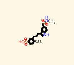 CNS(=O)(=O)Cc1ccc2[nH]cc(CCCc3cc(S(=O)(=O)O)ccc3C)c2c1